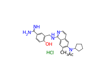 CC(=O)N(c1cc2ccnc(NCc3cc(C(=N)N)ccc3O)c2cc1C)C1CCCC1.Cl